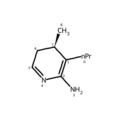 CCCC1=C(N)N=CC[C@H]1C